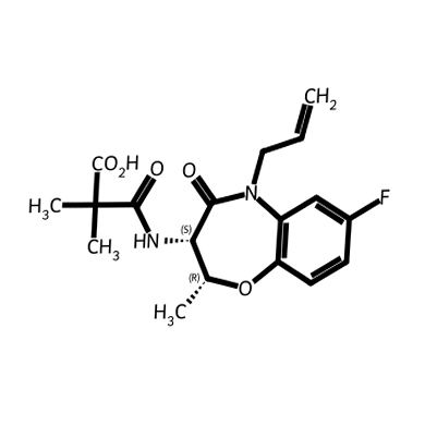 C=CCN1C(=O)[C@@H](NC(=O)C(C)(C)C(=O)O)[C@@H](C)Oc2ccc(F)cc21